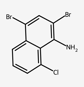 Nc1c(Br)cc(Br)c2cccc(Cl)c12